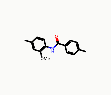 COc1cc(C)ccc1NC(=O)c1ccc(C)cc1